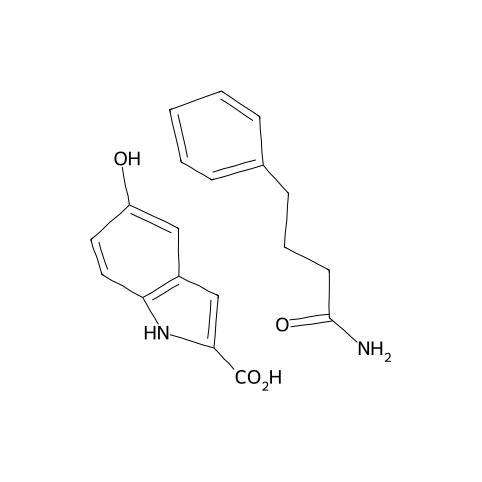 NC(=O)CCCc1ccccc1.O=C(O)c1cc2cc(O)ccc2[nH]1